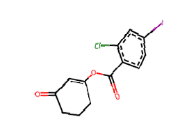 O=C1C=C(OC(=O)c2ccc(I)cc2Cl)CCC1